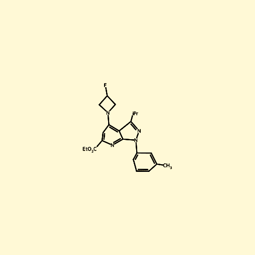 CCOC(=O)c1cc(N2CC(F)C2)c2c(C(C)C)nn(-c3cccc(C)c3)c2n1